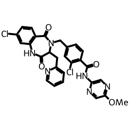 COc1cnc(NC(=O)c2ccc(CN3C(=O)c4ccc(Cl)cc4NC(=O)C3Cc3ccccn3)cc2Cl)cn1